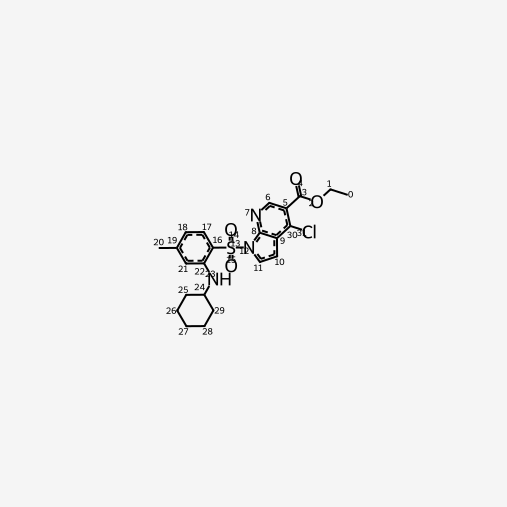 CCOC(=O)c1cnc2c(ccn2S(=O)(=O)c2ccc(C)cc2NC2CCCCC2)c1Cl